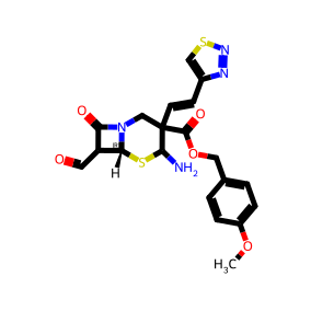 COc1ccc(COC(=O)C2(C=Cc3csnn3)CN3C(=O)C(C=O)[C@H]3SC2N)cc1